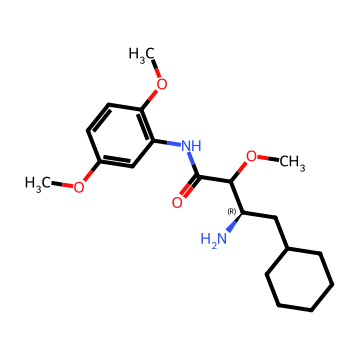 COc1ccc(OC)c(NC(=O)C(OC)[C@H](N)CC2CCCCC2)c1